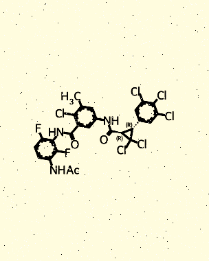 CC(=O)Nc1ccc(F)c(NC(=O)c2cc(NC(=O)[C@H]3[C@H](c4cc(Cl)c(Cl)c(Cl)c4)C3(Cl)Cl)cc(C)c2Cl)c1F